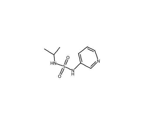 CC(C)NS(=O)(=O)Nc1cccnc1